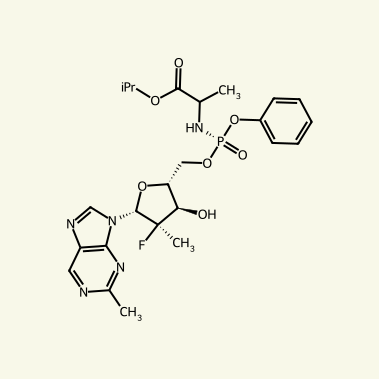 Cc1ncc2ncn([C@@H]3O[C@H](CO[P@@](=O)(NC(C)C(=O)OC(C)C)Oc4ccccc4)[C@@H](O)[C@@]3(C)F)c2n1